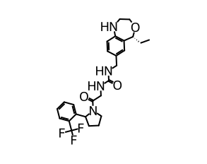 CC[C@H]1OCCNc2ccc(CNC(=O)NCC(=O)N3CCCC3c3ccccc3C(F)(F)F)cc21